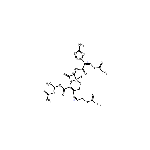 CC(=O)OC/C=C\C1=C(C(=O)OC(C)OC(C)=O)N2C(=O)[C@@H](NC(=O)/C(=N\OC(C)=O)c3csc(N)n3)[C@@H]2SC1